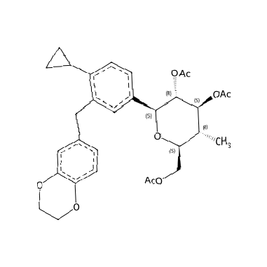 CC(=O)OC[C@H]1O[C@@H](c2ccc(C3CC3)c(Cc3ccc4c(c3)OCCO4)c2)[C@H](OC(C)=O)[C@@H](OC(C)=O)[C@@H]1C